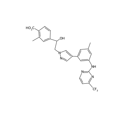 Cc1cc(Nc2nccc(C(F)(F)F)n2)cc(-c2cnn(CC(O)c3ccc(C(=O)O)c(C)c3)c2)c1